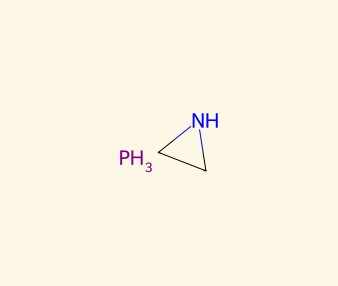 C1CN1.P